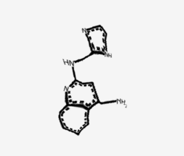 Nc1cc(Nc2ncc[nH]2)nc2ccccc12